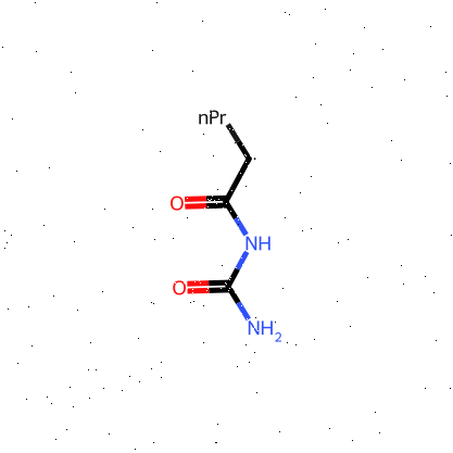 CCC[CH]C(=O)NC(N)=O